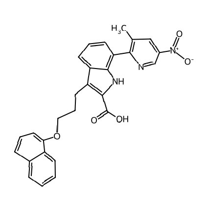 Cc1cc([N+](=O)[O-])cnc1-c1cccc2c(CCCOc3cccc4ccccc34)c(C(=O)O)[nH]c12